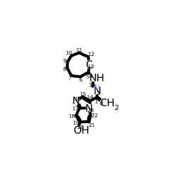 C=C(/N=C/NC1CCCCCCCC1)c1cnc2cc(O)ccn12